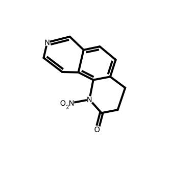 O=C1CCc2ccc3cnccc3c2N1[N+](=O)[O-]